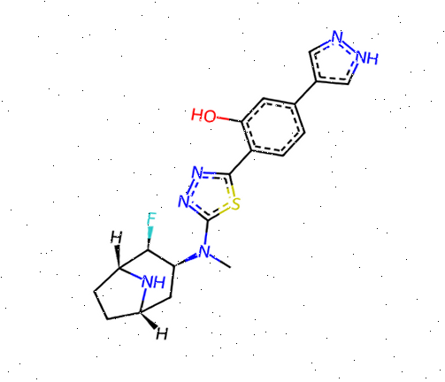 CN(c1nnc(-c2ccc(-c3cn[nH]c3)cc2O)s1)[C@H]1C[C@@H]2CC[C@@H](N2)[C@H]1F